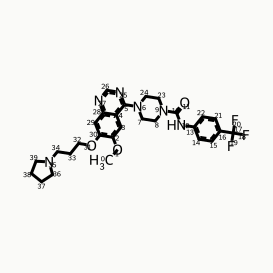 COc1cc2c(N3CCN(C(=O)Nc4ccc(C(F)(F)F)cc4)CC3)ncnc2cc1OCCCN1CCCC1